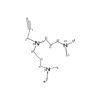 C#CCN(CCCN(C)C)CCCN(C)C